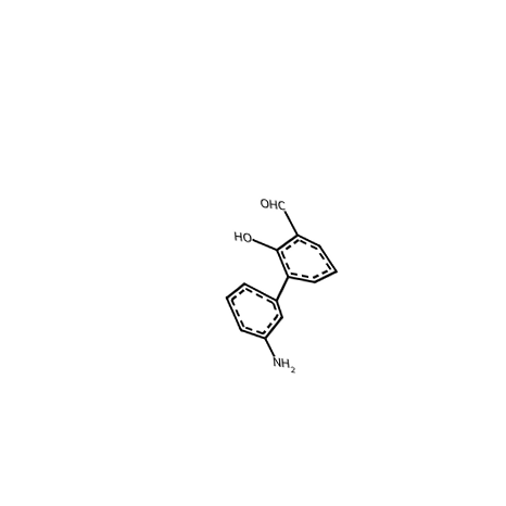 Nc1cccc(-c2cccc(C=O)c2O)c1